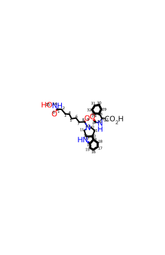 O=C(CCCCCCC(=O)N1Cc2[nH]c3ccccc3c2C[C@H]1C(=O)N[C@H](C(=O)O)c1ccccc1)NO